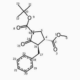 COC(=O)[C@H]1CN(C(=O)OC(C)(C)C)C(=O)[C@@H]1Cc1ccccc1